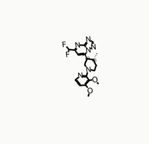 COc1ccnc(N2CC[C@@H](C)[C@H](c3cc(C(F)F)nc4ncnn34)C2)c1OC